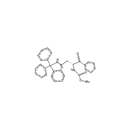 CC(C)(C)OC(=O)N[C@H](CC(=O)NC(c1ccccc1)(c1ccccc1)c1ccccc1)C(=O)c1ccccc1